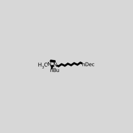 CCCCCCCCCCCCCCCCCCN1C=CN(C)C1CCCC